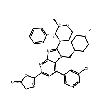 C[C@H]1OCCN(c2nc3nc(-c4n[nH]c(=O)o4)nc(-c4cncc(Cl)c4)c3n2C[C@H]2CC[C@H](C)CC2)[C@@H]1c1ccccc1